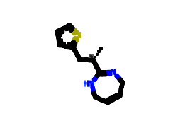 C[C@@H](Cc1cccs1)C1=NCC=CCN1